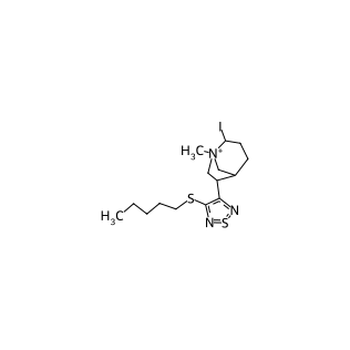 CCCCCSc1nsnc1C1C[N+]2(C)CC1CCC2I